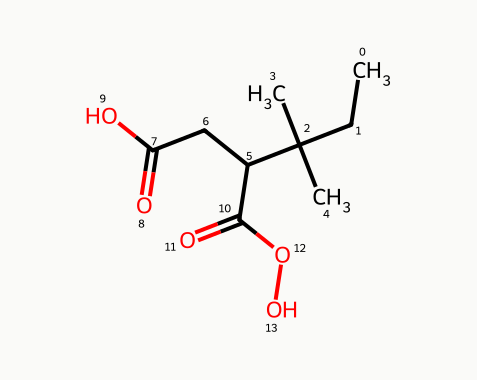 CCC(C)(C)C(CC(=O)O)C(=O)OO